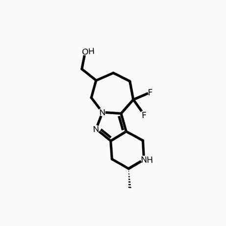 C[C@@H]1Cc2nn3c(c2CN1)C(F)(F)CCC(CO)C3